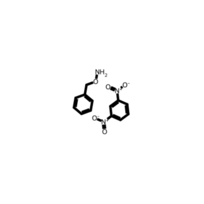 NOCc1ccccc1.O=[N+]([O-])c1cccc([N+](=O)[O-])c1